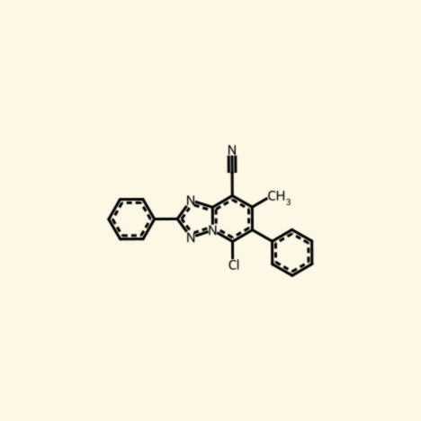 Cc1c(-c2ccccc2)c(Cl)n2nc(-c3ccccc3)nc2c1C#N